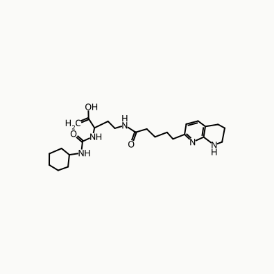 C=C(O)C(CCNC(=O)CCCCc1ccc2c(n1)NCCC2)NC(=O)NC1CCCCC1